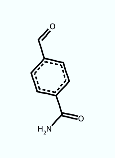 NC(=O)c1ccc(C=O)cc1